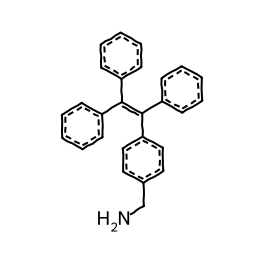 NCc1ccc(C(=C(c2ccccc2)c2ccccc2)c2ccccc2)cc1